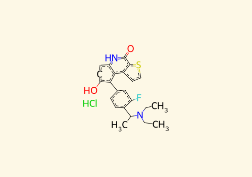 CCN(CC)C(C)c1ccc(-c2c(O)ccc3[nH]c(=O)c4sccc4c23)cc1F.Cl